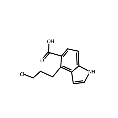 O=C(O)c1ccc2[nH]ccc2c1CCCCl